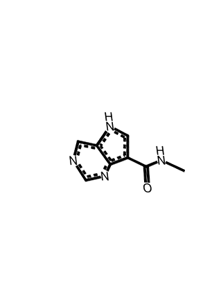 CNC(=O)c1c[nH]c2cncnc12